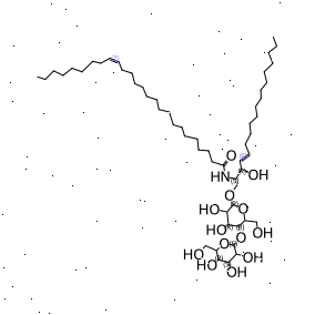 CCCCCCCC/C=C\CCCCCCCCCCCCCCCC(=O)N[C@@H](CO[C@@H]1OC(CO)[C@H](O[C@@H]2OC(CO)[C@H](O)[C@H](O)C2O)[C@H](O)C1O)[C@H](O)/C=C/CCCCCCCCCCCCC